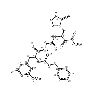 CNC(=O)C(=O)[C@H](C[C@@H]1CCNC1=O)NC(=O)CNC(=O)[C@H](Cc1cc(C)cc(OC)n1)NC(=O)OCc1ccccc1